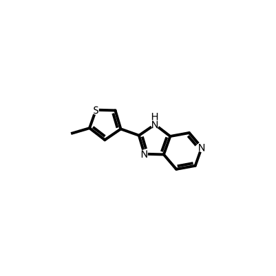 Cc1cc(-c2nc3ccncc3[nH]2)cs1